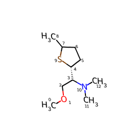 COCC([C@H]1CCC(C)S1)N(C)C